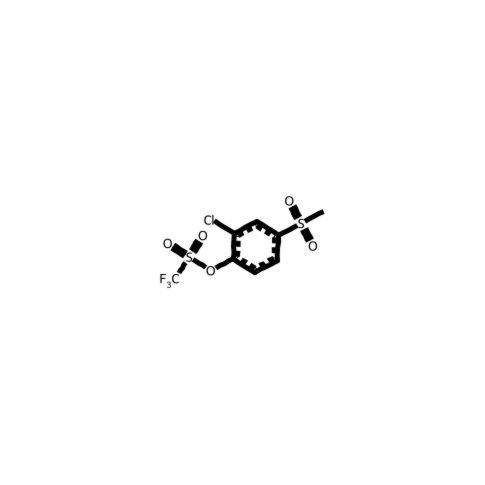 CS(=O)(=O)c1ccc(OS(=O)(=O)C(F)(F)F)c(Cl)c1